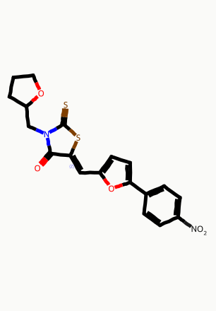 O=C1/C(=C/c2ccc(-c3ccc([N+](=O)[O-])cc3)o2)SC(=S)N1CC1CCCO1